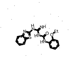 CCOc1ccccc1NC(=O)NC(=N)Nc1nc2ccccc2s1